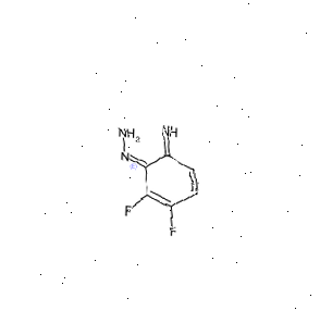 N=C1C=CC(F)=C(F)/C1=N/N